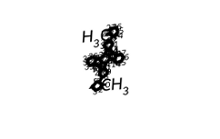 Cc1ccccc1-c1ccc2c3c4c5ccccc5n5c6cc(-c7ccccc7C)ccc6c(c6c7ccccc7n(c2c1)c63)c45